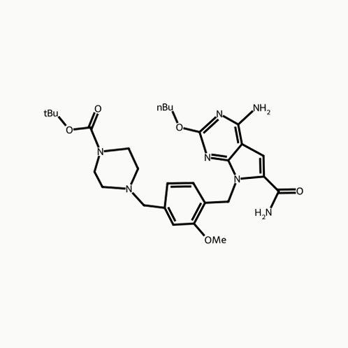 CCCCOc1nc(N)c2cc(C(N)=O)n(Cc3ccc(CN4CCN(C(=O)OC(C)(C)C)CC4)cc3OC)c2n1